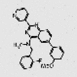 COC1C=C(c2ccc3nc(-c4cccnc4)nc(N(C)Cc4ccccc4F)c3c2)C=CC1